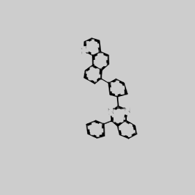 c1ccc(-c2nc(-c3cccc(-c4cccc5c4ccc4cccnc45)c3)nc3ccccc23)cc1